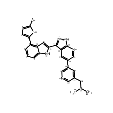 CC(=O)c1ccc(-c2cccc3[nH]c(-c4n[nH]c5ncc(-c6cncc(CN(C)C)c6)cc45)cc23)s1